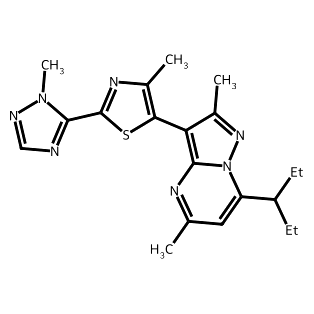 CCC(CC)c1cc(C)nc2c(-c3sc(-c4ncnn4C)nc3C)c(C)nn12